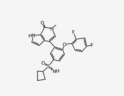 Cn1cc(-c2cc(S(=N)(=O)C3CCC3)ccc2Oc2ccc(F)cc2F)c2cc[nH]c2c1=O